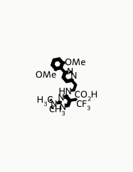 COc1cccc(OC)c1-c1ccc(C[C@H](Nc2nc(N(C)C)ncc2CC(F)(F)F)C(=O)O)nn1